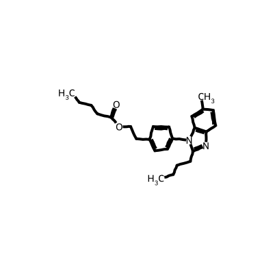 CCCCC(=O)OCCc1ccc(-n2c(CCCC)nc3ccc(C)cc32)cc1